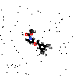 CC(O[C@@H]1CC(C)N(C(=O)OC(C)(C)C)C1)c1cc(C(F)(F)F)cc(C(F)(F)F)c1